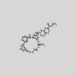 C=CC(=O)N1CCN(C)C(CCNc2cc3cc(c2)Nc2nccc(n2)-c2cccc(c2)OCC/C=C/CN(C)C3)C1